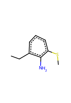 CCc1cccc(SC)c1N